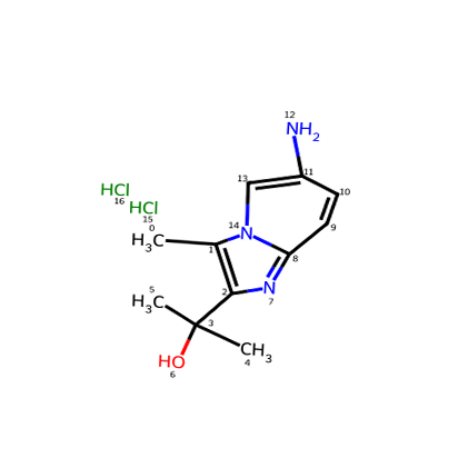 Cc1c(C(C)(C)O)nc2ccc(N)cn12.Cl.Cl